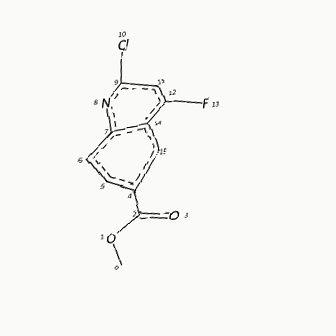 COC(=O)c1ccc2nc(Cl)cc(F)c2c1